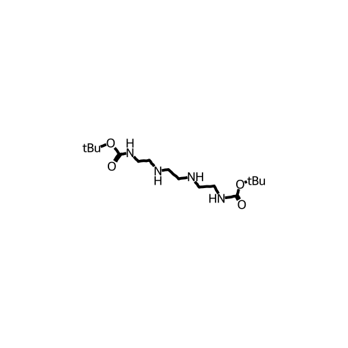 CC(C)(C)OC(=O)NCCNCCNCCNC(=O)OC(C)(C)C